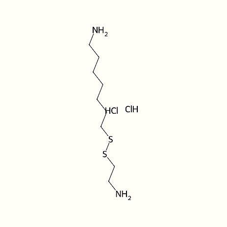 Cl.Cl.NCCCCCCCSSCCN